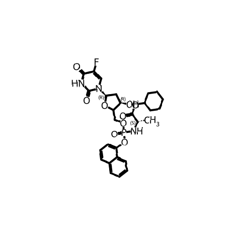 C[C@H](NP(=O)(OCC1O[C@@H](n2cc(F)c(=O)[nH]c2=O)C[C@H]1O)Oc1cccc2ccccc12)C(=O)OC1CCCCC1